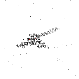 CN(C)C(=O)C1CN(c2ccc3c(c2)[Si](C)(C)c2cc(N4CC(C(=O)N(C)C)C4)ccc2C32C(=[N+]=[N-])C(=O)c3ccc(C(=O)NCCOCCOCCCCCCCl)cc32)C1